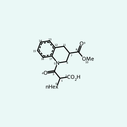 CCCCCCC(C(=O)O)C(=O)N1CC(C(=O)OC)Cc2ccccc21